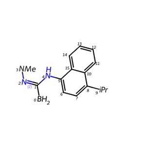 B/C(=N/NC)Nc1ccc(C(C)C)c2ccccc12